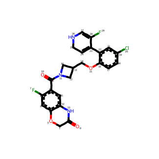 O=C1COc2cc(F)c(C(=O)N3CC(COc4ccc(Cl)cc4C4=CCNC=C4F)C3)cc2N1